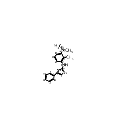 Cc1c(Nc2ncc(-c3ccccc3)s2)cccc1N(C)C